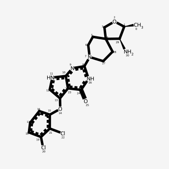 C[C@@H]1OCC2(CCN(c3nc4[nH]cc(Oc5cccc(Cl)c5Cl)c4c(=O)[nH]3)CC2)[C@@H]1N